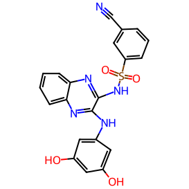 N#Cc1cccc(S(=O)(=O)Nc2nc3ccccc3nc2Nc2cc(O)cc(O)c2)c1